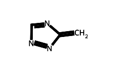 C=C1N=CN=N1